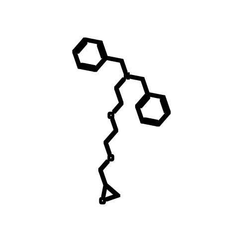 c1ccc(CN(CCOCCOCC2CO2)Cc2ccccc2)cc1